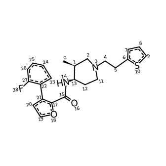 C[C@H]1CN(CCc2cccs2)CC[C@H]1NC(=O)c1occc1-c1ccccc1F